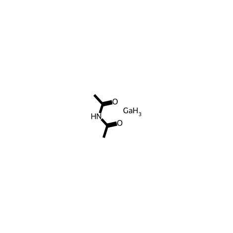 CC(=O)NC(C)=O.[GaH3]